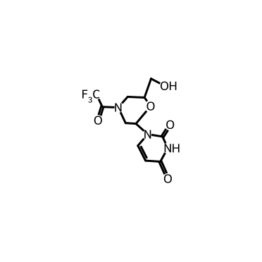 O=C(N1CC(CO)OC(n2ccc(=O)[nH]c2=O)C1)C(F)(F)F